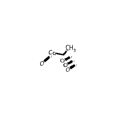 C[CH2][Co].[C]=O.[C]=O.[C]=O.[C]=O